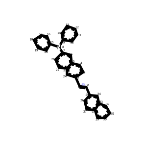 C(=C\c1ccc2cc(N(c3ccccc3)c3ccccc3)ccc2c1)/c1ccc2ccccc2c1